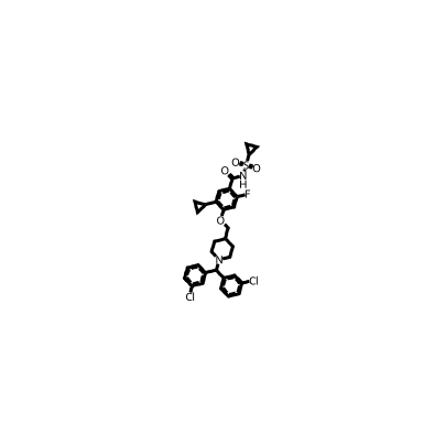 O=C(NS(=O)(=O)C1CC1)c1cc(C2CC2)c(OCC2CCN(C(c3cccc(Cl)c3)c3cccc(Cl)c3)CC2)cc1F